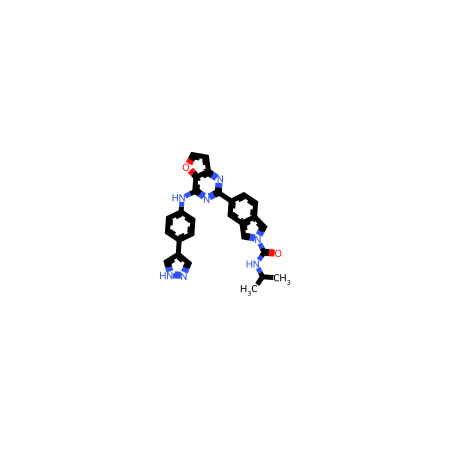 CC(C)NC(=O)n1cc2ccc(-c3nc(Nc4ccc(-c5cn[nH]c5)cc4)c4occc4n3)cc2c1